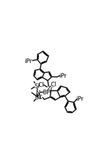 CC(C)CC1=Cc2c(-c3ccccc3C(C)C)cccc2[CH]1[Zr]([Cl])([Cl])([BH]N([Si](C)(C)C)[Si](C)(C)C)[CH]1C(CC(C)C)=Cc2c(-c3ccccc3C(C)C)cccc21